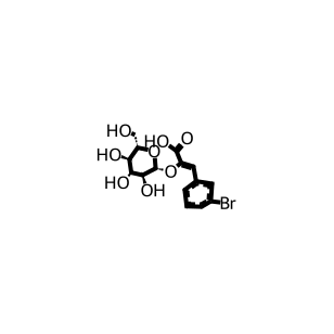 O=C(O)/C(=C/c1cccc(Br)c1)O[C@H]1O[C@@H](CO)[C@H](O)[C@@H](O)[C@@H]1O